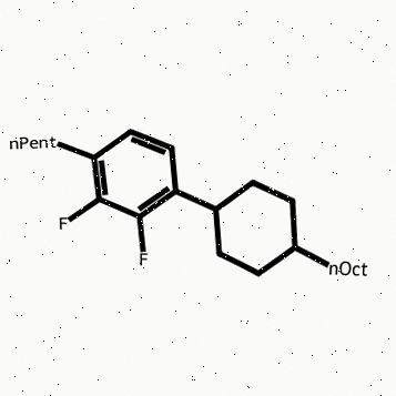 CCCCCCCCC1CCC(c2ccc(CCCCC)c(F)c2F)CC1